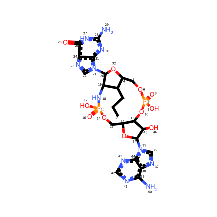 CCCC1C2COP(=O)(O)OC3C(COP(=O)(O)NC1C(n1cnc4c(=O)[nH]c(N)nc41)O2)OC(n1cnc2c(N)ncnc21)C3O